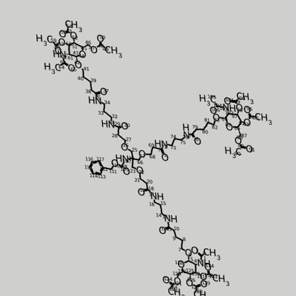 CC(=O)N[C@H]1[C@H](OCCCCC(=O)NCCCNC(=O)CCOCC(COCCC(=O)NCCCNC(=O)CCCCO[C@@H]2O[C@H](COC(C)=O)[C@H](OC(C)=O)[C@H](OC(C)=O)[C@H]2NC(C)=O)(COCCC(=O)NCCCNC(=O)CCCCO[C@@H]2O[C@H](COC(C)=O)[C@H](OC(C)=O)[C@H](OC(C)=O)[C@H]2NC(C)=O)NC(=O)OCc2ccccc2)O[C@H](COC(C)=O)[C@H](OC(C)=O)[C@@H]1OC(C)=O